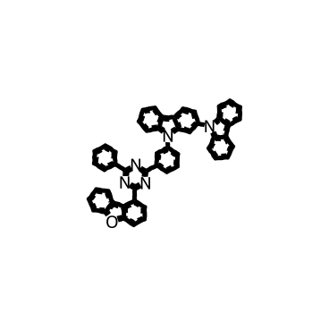 c1ccc(-c2nc(-c3cccc(-n4c5ccccc5c5ccc(-n6c7ccccc7c7ccccc76)cc54)c3)nc(-c3cccc4oc5ccccc5c34)n2)cc1